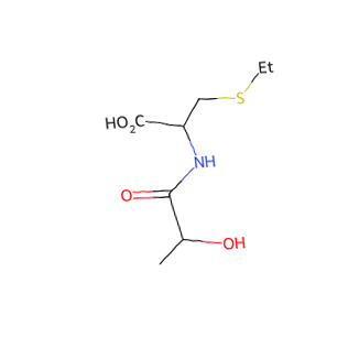 CCSCC(NC(=O)C(C)O)C(=O)O